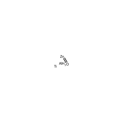 [AlH3].[O]=[Zn].[Ti]